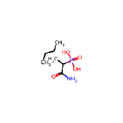 CC(C(N)=O)P(=O)(O)O.CCCC